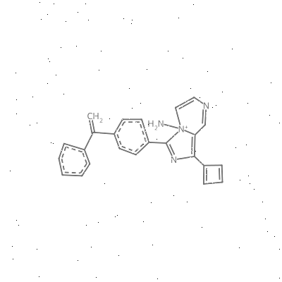 C=C(c1ccccc1)c1ccc(C2=NC(C3=CC=C3)=C3C=NC=C[N+]23N)cc1